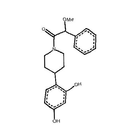 COC(C(=O)N1CCC(c2ccc(O)cc2O)CC1)c1ccccc1